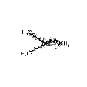 C=CCCCCCCCCCC(CCCCCCCCCC=C)COC(=O)C(C)c1ccc(CC(C)C)cc1